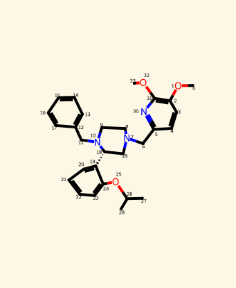 COc1ccc(CN2CCN(Cc3ccccc3)[C@@H](c3ccccc3OC(C)C)C2)nc1OC